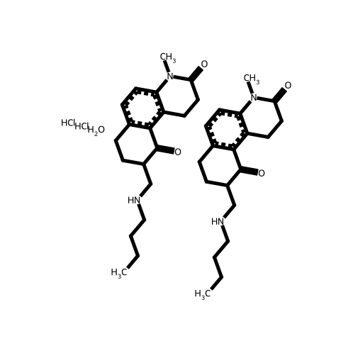 CCCCNCC1CCc2ccc3c(c2C1=O)CCC(=O)N3C.CCCCNCC1CCc2ccc3c(c2C1=O)CCC(=O)N3C.Cl.Cl.O